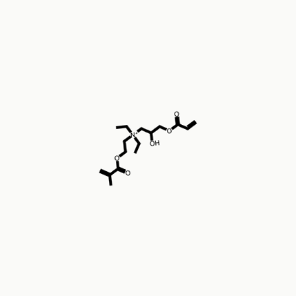 C=CC(=O)OCC(O)C[N+](CC)(CC)CCOC(=O)C(=C)C